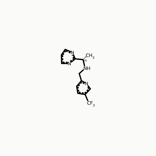 C[C@H](NCc1ccc(C(F)(F)F)cn1)c1ncccn1